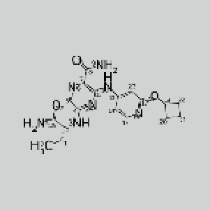 CC[C@@H](Nc1cnc(C(N)=O)c(Nc2ccnc(OC3CCC3)c2)n1)C(N)=O